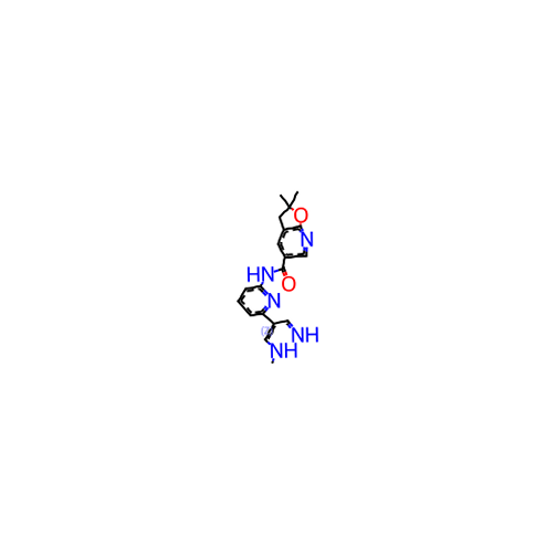 CN/C=C(\C=N)c1cccc(NC(=O)c2cnc3c(c2)CC(C)(C)O3)n1